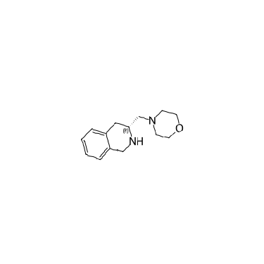 c1ccc2c(c1)CN[C@@H](CN1CCOCC1)C2